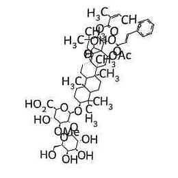 C/C=C(/C)C(=O)O[C@H]1C(OC(=O)/C=C/c2ccccc2)C23[C@H](O)O[C@@]4(CCC5[C@@]6(C)CC[C@H](O[C@@H]7O[C@H](C(=O)O)[C@@H](O)[C@H](OC)[C@H]7OC7O[C@H](CO)[C@H](O)[C@H](O)[C@H]7O)C(C)(C)C6CC[C@@]5(C)[C@]4(C)C[C@H]2OC(C)=O)[C@@H]3CC1(C)C